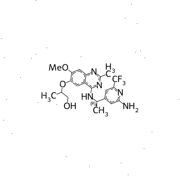 COc1cc2nc(C)nc(N[C@H](C)c3cc(N)nc(C(F)(F)F)c3)c2cc1OC(C)CO